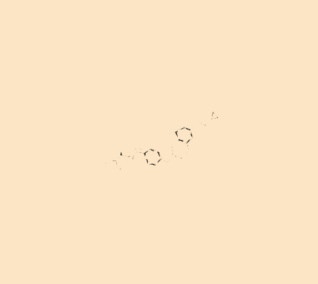 CC(O)C(=O)N[C@@H](C)c1ccc(CN2CCc3cc(OCC4CC4)ccc3C2)cc1